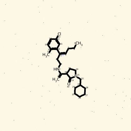 C=C(NCC/C(=C/CCC)c1cc(Cl)ccc1C)C1CCN(CC2CCCCC2)C1=O